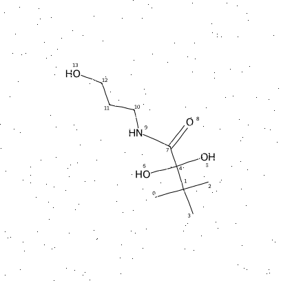 CC(C)(C)C(O)(O)C(=O)NCCCO